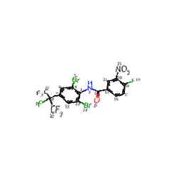 O=C(Nc1c(Br)cc(C(F)(C(F)(F)F)C(F)(F)F)cc1Br)c1ccc(F)c([N+](=O)[O-])c1